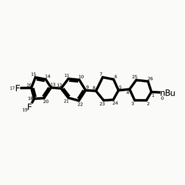 CCCCC1CCC(C2CCC(c3ccc(-c4ccc(F)c(F)c4)cc3)CC2)CC1